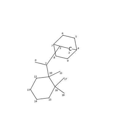 CC(C1CC2CCC1CC2)C1(C)CCCCC1(C)C